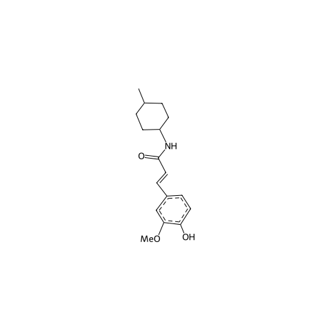 COc1cc(C=CC(=O)NC2CCC(C)CC2)ccc1O